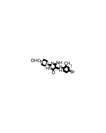 Cc1cc(Br)ccc1N/C=C1\C(=N)N=C(N2CCN(C=O)CC2)NC1=O